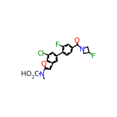 CN(C(=O)O)c1cc2cc(-c3ccc(C(=O)N4CC(F)C4)cc3F)cc(Cl)c2o1